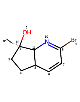 C[C@@]1(O)CCC2C=CC(Br)=NC21